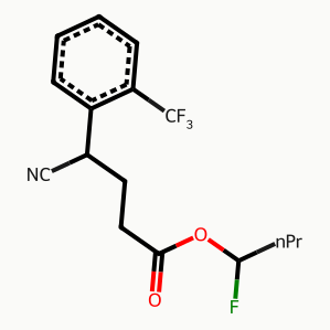 CCCC(F)OC(=O)CCC(C#N)c1ccccc1C(F)(F)F